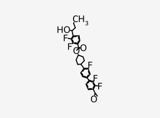 CCCC(O)c1ccc(C(=O)OC2CCC(c3ccc(-c4ccc(C5CO5)c(F)c4F)cc3F)CC2)c(F)c1F